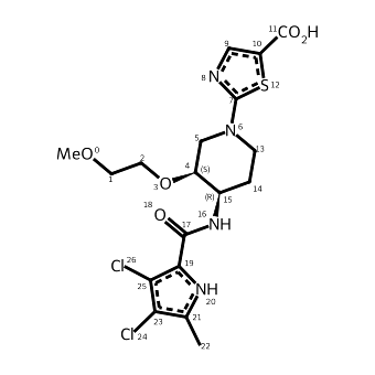 COCCO[C@H]1CN(c2ncc(C(=O)O)s2)CC[C@H]1NC(=O)c1[nH]c(C)c(Cl)c1Cl